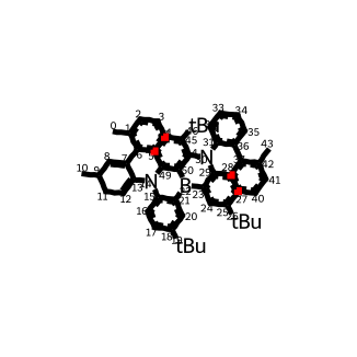 Cc1ccccc1C1=CC(C)CC=C1N1c2ccc(C(C)(C)C)cc2B2c3cc(C(C)(C)C)ccc3N(c3ccccc3-c3ccccc3C)c3c(C(C)(C)C)ccc1c32